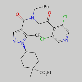 CCOC(=O)[C@]1(C)CC[C@@H](n2ncc(C(=O)N(CC(=O)c3c(Cl)cncc3Cl)CC(C)(C)C)c2C(F)(F)F)CC1